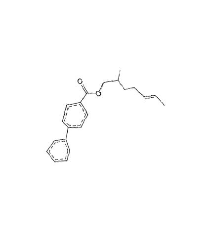 CC=CCCC(C)COC(=O)c1ccc(-c2ccccc2)cc1